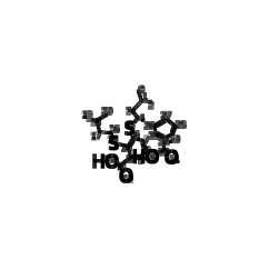 CC(C)CCSc1cccc(C(=O)O)c1SCCC(C)C.O=C(O)c1ccccc1